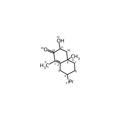 CC1=C2CC(C(C)C)CCC2(C)CC(O)C1=O